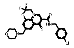 O=C(NCc1ccc(Cl)cc1)c1cn2c3c(cc(CN4CCOCC4)cc3c1=S)OC(F)(F)C2